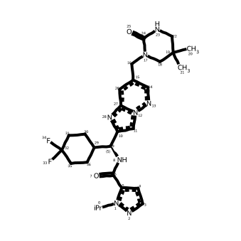 CC(C)n1nccc1C(=O)N[C@H](c1cn2ncc(CN3CC(C)(C)CNC3=O)cc2n1)C1CCC(F)(F)CC1